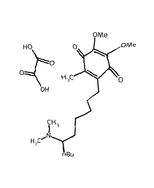 CCCCC(CCCCCC1=C(C)C(=O)C(OC)=C(OC)C1=O)N(C)C.O=C(O)C(=O)O